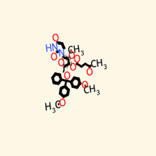 COc1ccc(C(OC[C@H]2O[C@@H](n3ccc(=O)[nH]c3=O)[C@H](OC)[C@@H]2OC(=O)CCC(C)=O)(c2ccccc2)c2ccc(OC)cc2)cc1